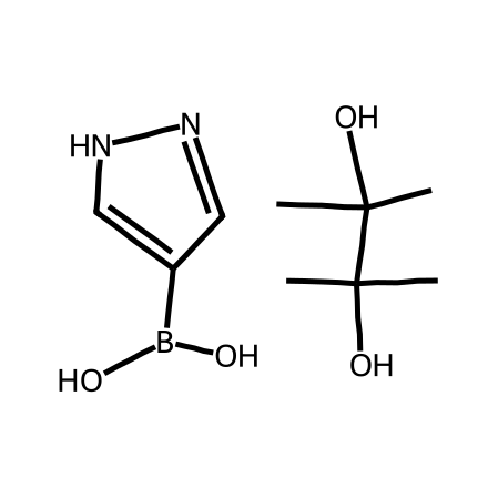 CC(C)(O)C(C)(C)O.OB(O)c1cn[nH]c1